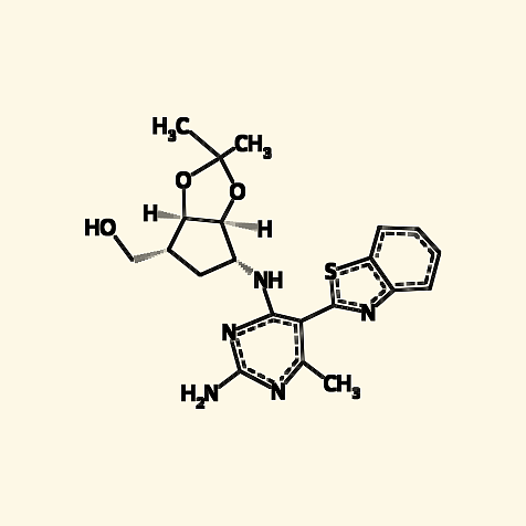 Cc1nc(N)nc(N[C@@H]2C[C@H](CO)[C@H]3OC(C)(C)O[C@H]32)c1-c1nc2ccccc2s1